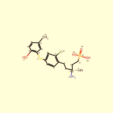 CCC[C@](N)(CCc1ccc(Sc2cc(C)ccc2O)cc1Cl)CCP(=O)(O)O